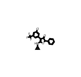 O=C1C(c2cc(Cl)cc(C(F)(F)F)c2)=C(NC2CC2)OC1c1ccccc1